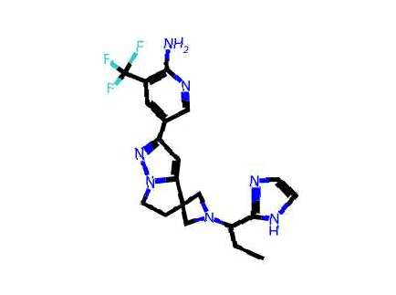 CCC(c1ncc[nH]1)N1CC2(CCn3nc(-c4cnc(N)c(C(F)(F)F)c4)cc32)C1